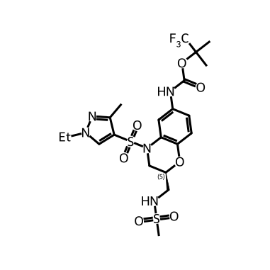 CCn1cc(S(=O)(=O)N2C[C@H](CNS(C)(=O)=O)Oc3ccc(NC(=O)OC(C)(C)C(F)(F)F)cc32)c(C)n1